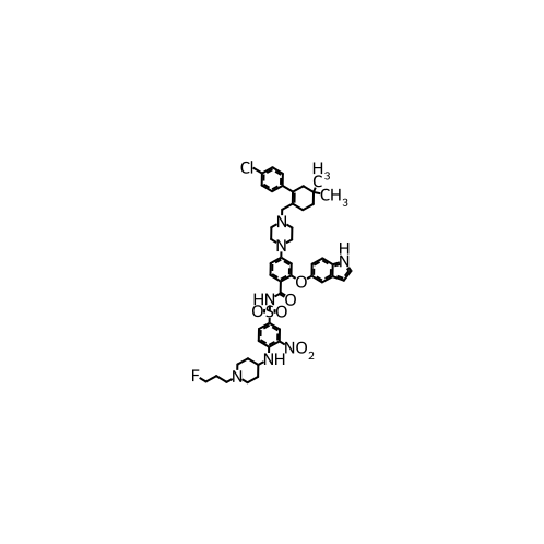 CC1(C)CCC(CN2CCN(c3ccc(C(=O)NS(=O)(=O)c4ccc(NC5CCN(CCCF)CC5)c([N+](=O)[O-])c4)c(Oc4ccc5[nH]ccc5c4)c3)CC2)=C(c2ccc(Cl)cc2)C1